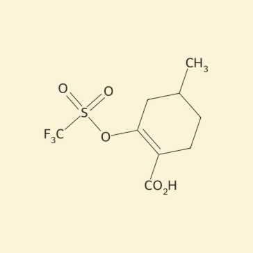 CC1CCC(C(=O)O)=C(OS(=O)(=O)C(F)(F)F)C1